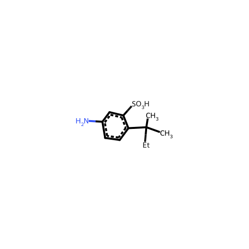 CCC(C)(C)c1ccc(N)cc1S(=O)(=O)O